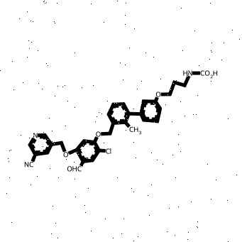 Cc1c(COc2cc(OCc3cncc(C#N)c3)c(C=O)cc2Cl)cccc1-c1cccc(OCCCNC(=O)O)c1